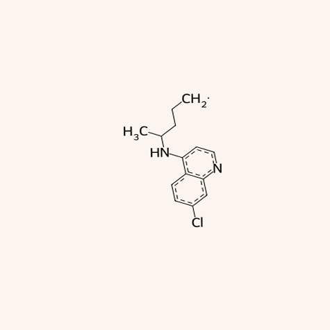 [CH2]CCC(C)Nc1ccnc2cc(Cl)ccc12